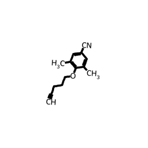 C#CCCCOc1c(C)cc(C#N)cc1C